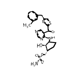 Cc1cccc(Cc2csc(C(=O)c3cncnc3NC3CC[C@H](COS(N)(=O)=O)[C@H]3O)n2)c1